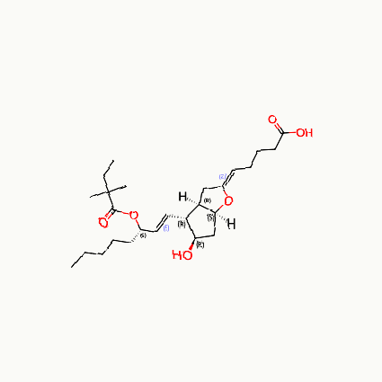 CCCCC[C@@H](/C=C/[C@@H]1[C@H]2C/C(=C/CCCC(=O)O)O[C@H]2C[C@H]1O)OC(=O)C(C)(C)CC